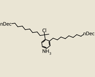 CCCCCCCCCCCCCCCCCCc1ccccc1C(C)(Cl)CCCCCCCCCCCCCCCCCC.N